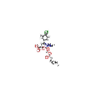 CCCC(=O)OCOC(=O)NC(CCC(=O)[O-])c1ccc(Cl)cc1.[Na+]